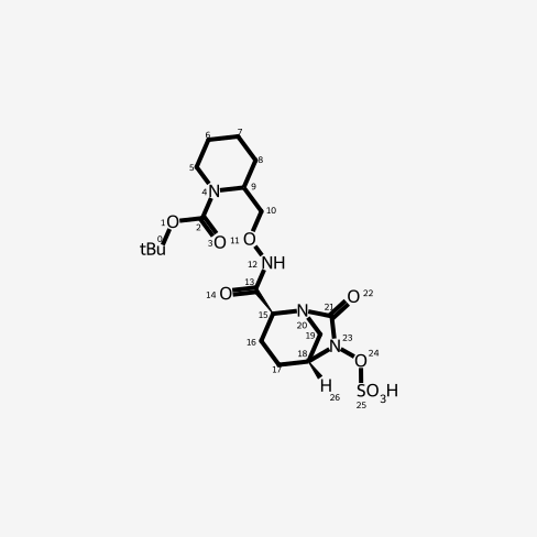 CC(C)(C)OC(=O)N1CCCCC1CONC(=O)[C@@H]1CC[C@@H]2CN1C(=O)N2OS(=O)(=O)O